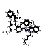 CCCc1ccc(OC2=C(CCC3=[N+](CCCCS(=O)(=O)O)c4ccccc4C3(C)C)CCC/C2=C\C=C2\N(CCCCS(=O)(=O)O)c3ccccc3C2(C)C)cc1